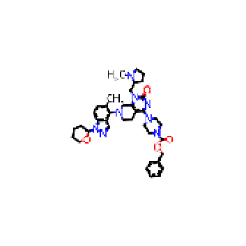 Cc1ccc2c(cnn2C2CCCCO2)c1N1CCc2c(N3CCN(C(=O)OCc4ccccc4)CC3)nc(=O)n(CC3CCCN3C)c2C1